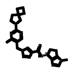 Cc1nc(N2CCC3(CCC3)C2)ncc1Cn1cc(C(=O)N[C@@H]2CCc3c2ncn3C)cn1